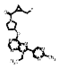 CCn1c(-c2cnc(C)nc2)nc2c(O[C@H]3CCN(C(=O)C4CC4CF)C3)ncnc21